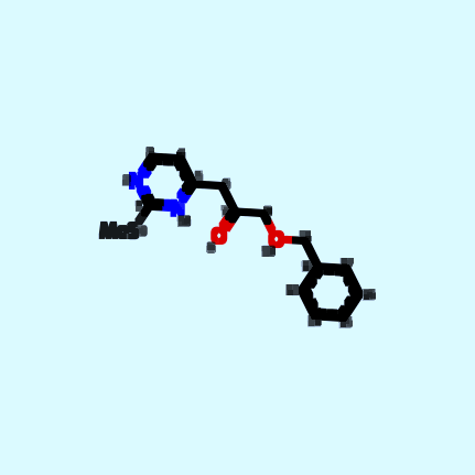 CSc1nccc(CC(=O)COCc2ccccc2)n1